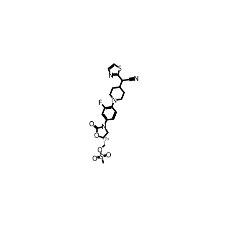 CS(=O)(=O)OC[C@H]1CN(c2ccc(N3CCC(C(C#N)c4nccs4)CC3)c(F)c2)C(=O)O1